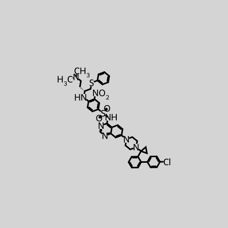 CN(C)CC[C@H](CSc1ccccc1)Nc1ccc(S(=O)(=O)Nc2ncnc3cc(N4CCN(C5(c6ccccc6-c6ccc(Cl)cc6)CC5)CC4)ccc23)cc1[N+](=O)[O-]